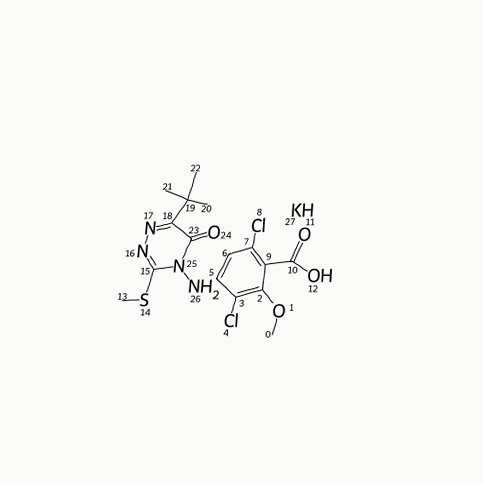 COc1c(Cl)ccc(Cl)c1C(=O)O.CSc1nnc(C(C)(C)C)c(=O)n1N.[KH]